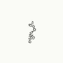 c1ccc(-c2ccc(-c3nc4sc5ccc(-c6cccc(-c7ccc8c9ccccc9c9ccccc9c8c7)c6)cc5c4nc3-c3ccccc3)cc2)cc1